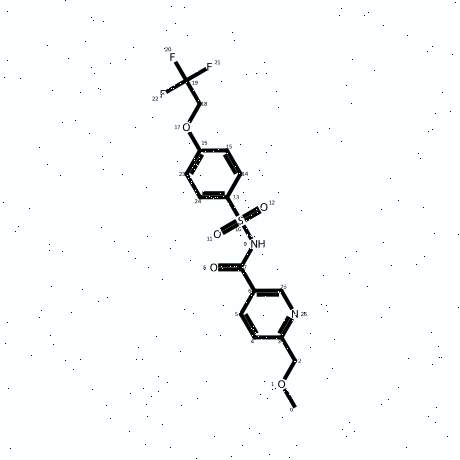 COCc1ccc(C(=O)NS(=O)(=O)c2ccc(OCC(F)(F)F)cc2)cn1